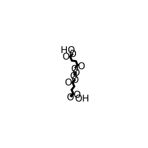 O=C(CCC(=O)OOOOC(=O)CCC(=O)OO)OO